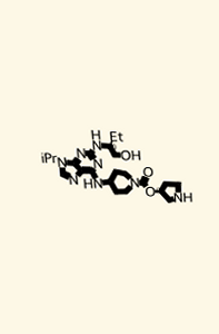 CC[C@H](CO)Nc1nc(NC2CCN(C(=O)O[C@H]3CCNC3)CC2)c2ncn(C(C)C)c2n1